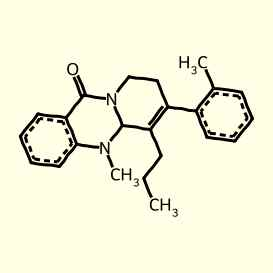 CCCC1=C(c2ccccc2C)CCN2C(=O)c3ccccc3N(C)C12